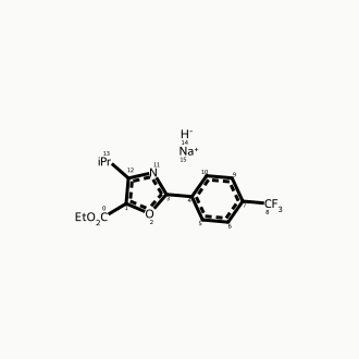 CCOC(=O)c1oc(-c2ccc(C(F)(F)F)cc2)nc1C(C)C.[H-].[Na+]